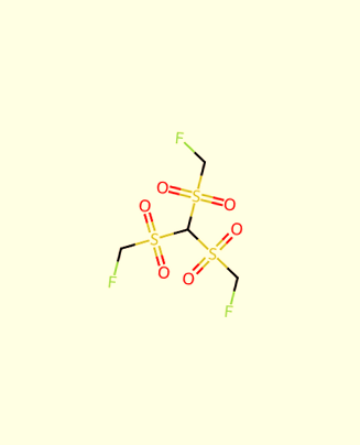 O=S(=O)(CF)C(S(=O)(=O)CF)S(=O)(=O)CF